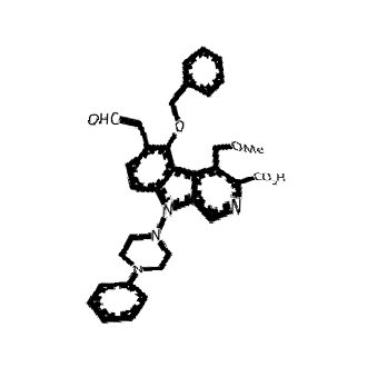 COCc1c(C(=O)O)ncc2c1c1c(OCc3ccccc3)c(CC=O)ccc1n2N1CCN(c2ccccc2)CC1